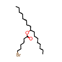 CCCCCCCCC(CCCCCCCC)OC(=O)CCCCCBr